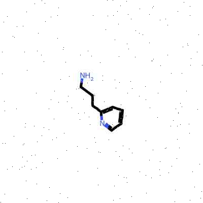 NC[CH]Cc1ccccn1